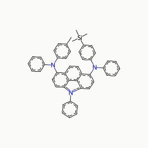 Cc1ccc(N(c2ccccc2)c2ccc3c4c2ccc2c(N(c5ccccc5)c5ccc([Si](C)(C)C)cc5)ccc(c24)n3-c2ccccc2)cc1